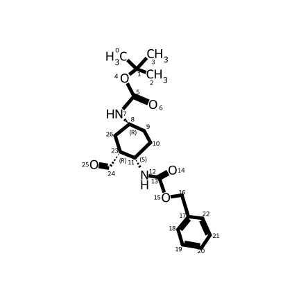 CC(C)(C)OC(=O)N[C@@H]1CC[C@H](NC(=O)OCc2ccccc2)[C@H](C=O)C1